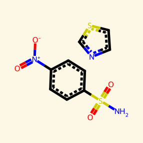 NS(=O)(=O)c1ccc([N+](=O)[O-])cc1.c1cscn1